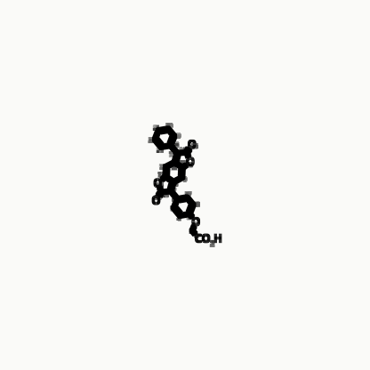 O=C(O)COc1ccc(C2=c3cc4c(cc3OC2=O)=C(c2ccccc2)C(=O)O4)cc1